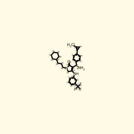 CC1=C(c2ccc([C@@H](N)C3=C(Nc4cccc(C(F)(F)F)c4)CN(CCCC4CCCCC4)C3=O)cc2)C1